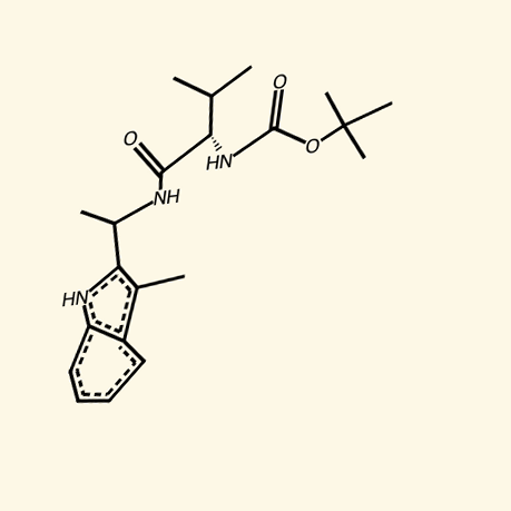 Cc1c(C(C)NC(=O)[C@@H](NC(=O)OC(C)(C)C)C(C)C)[nH]c2ccccc12